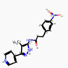 Cc1c(-c2ccncc2)n[nH]c1NC(=O)CCc1ccc([N+](=O)[O-])cc1